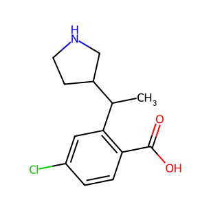 CC(c1cc(Cl)ccc1C(=O)O)C1CCNC1